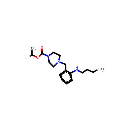 O=C(O)CCCNc1ccccc1CN1CCN(C(=O)OC(C(F)(F)F)C(F)(F)F)CC1